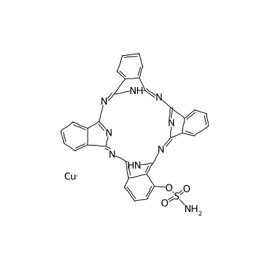 NS(=O)(=O)Oc1cccc2c3nc4nc(nc5[nH]c(nc6nc(nc([nH]3)c12)-c1ccccc1-6)c1ccccc51)-c1ccccc1-4.[Cu]